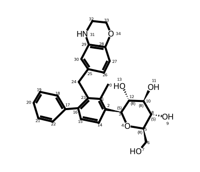 Cc1c([C@@H]2O[C@H](CO)[C@@H](O)[C@H](O)[C@H]2O)ccc(-c2ccccc2)c1Cc1ccc2c(c1)NCCO2